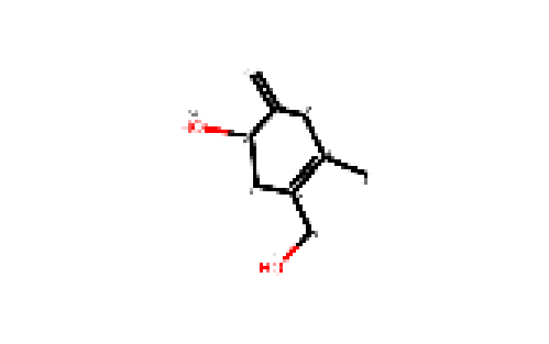 C=C1CC(C)=C(CO)C[C@H]1O